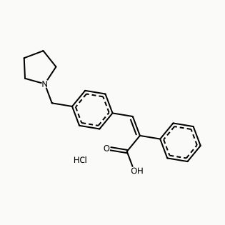 Cl.O=C(O)C(=Cc1ccc(CN2CCCC2)cc1)c1ccccc1